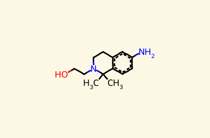 CC1(C)c2ccc(N)cc2CCN1CCO